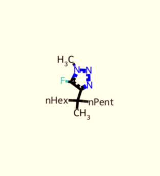 CCCCCCC(C)(CCCCC)c1nnn(C)c1F